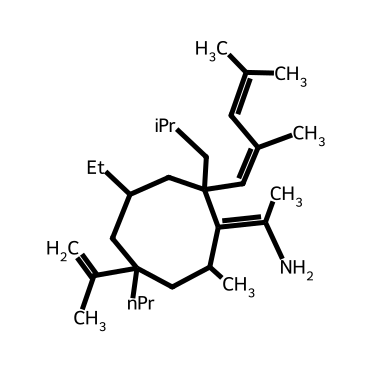 C=C(C)C1(CCC)CC(CC)CC(/C=C(/C)C=C(C)C)(CC(C)C)/C(=C(\C)N)C(C)C1